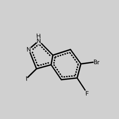 Fc1cc2c(I)n[nH]c2cc1Br